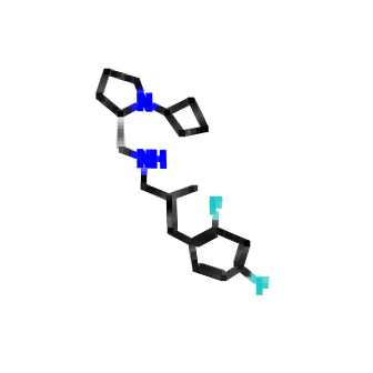 C/C(=C\c1ccc(F)cc1F)CNC[C@@H]1CCCN1C1CCC1